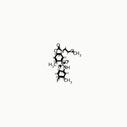 COCCn1c(=O)oc2cc(C)c(S(=O)(=O)Nc3ccc(F)c(C)c3)cc21